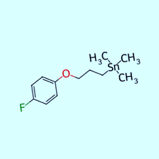 [CH3][Sn]([CH3])([CH3])[CH2]CCOc1ccc(F)cc1